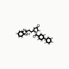 O=C1CC(CCc2nc3ccccc3[nH]2)N(C(=O)c2ccc(-c3ccccc3)cc2)C1